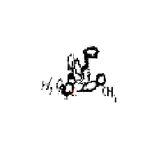 CC1=Cc2c(C)cccc2[CH]1[Zr](=[SiH]Cc1ccccc1)[CH]1C(C)=Cc2c(C)cccc21